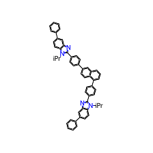 CC(C)n1c(-c2ccc(-c3ccc4c(-c5ccc(-c6nc7cc(-c8ccccc8)ccc7n6C(C)C)cc5)cccc4c3)cc2)nc2cc(-c3ccccc3)ccc21